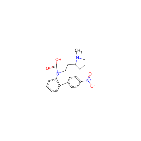 CN1CCCC1CCN(C(=O)O)c1ccccc1-c1ccc([N+](=O)[O-])cc1